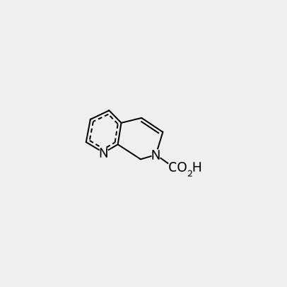 O=C(O)N1C=Cc2cccnc2C1